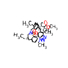 CC[C@H]1Cc2ccccc2S(=O)(=O)N(Cc2cc([C@@H](c3ccc4c(nnn4CC)c3C)C(C)(C)C(=O)OC)ccc2C)C1